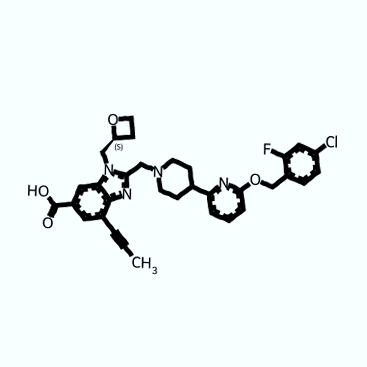 CC#Cc1cc(C(=O)O)cc2c1nc(CN1CCC(c3cccc(OCc4ccc(Cl)cc4F)n3)CC1)n2C[C@@H]1CCO1